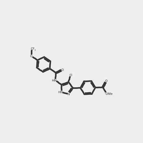 COC(=O)c1ccc(-c2n[nH]c(NC(=O)c3ccc(OC(F)(F)F)cc3)c2Cl)cc1